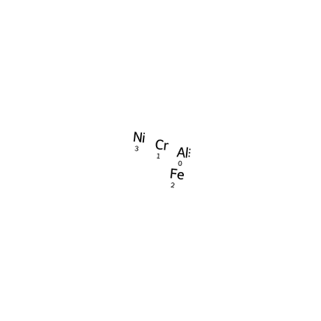 [Al].[Cr].[Fe].[Ni]